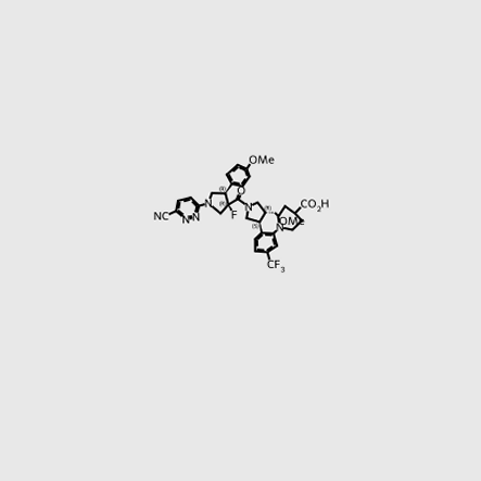 COC[C@H]1CN(C(=O)[C@]2(F)CN(c3ccc(C#N)nn3)C[C@H]2c2ccc(OC)cc2)C[C@@H]1c1ccc(C(F)(F)F)cc1N1CCC(C(=O)O)CC1